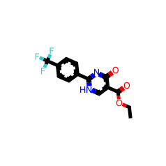 CCOC(=O)c1c[nH]c(-c2ccc(C(F)(F)F)cc2)nc1=O